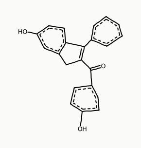 O=C(C1=C(c2ccccc2)c2ccc(O)cc2C1)c1ccc(O)cc1